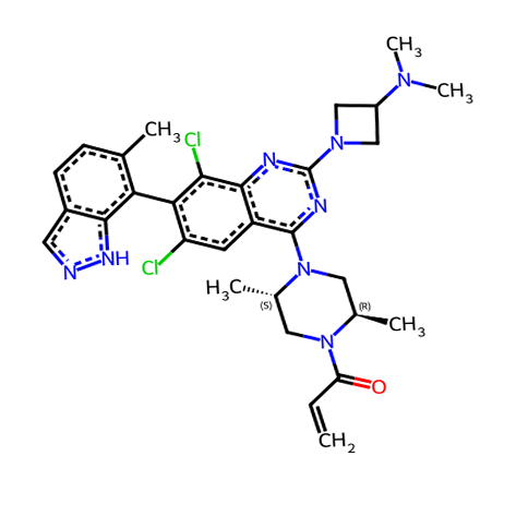 C=CC(=O)N1C[C@H](C)N(c2nc(N3CC(N(C)C)C3)nc3c(Cl)c(-c4c(C)ccc5cn[nH]c45)c(Cl)cc23)C[C@H]1C